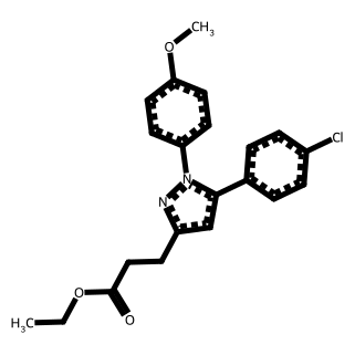 CCOC(=O)CCc1cc(-c2ccc(Cl)cc2)n(-c2ccc(OC)cc2)n1